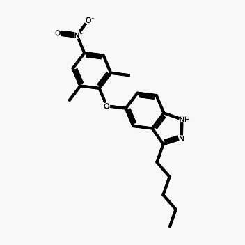 CCCCCc1n[nH]c2ccc(Oc3c(C)cc([N+](=O)[O-])cc3C)cc12